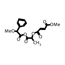 COC(=O)/C=C/C(=O)OC(C)C(=O)OC(=O)C(OC)c1ccccc1